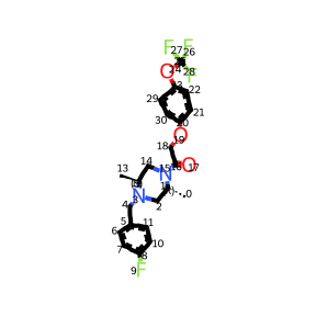 C[C@@H]1CN(Cc2ccc(F)cc2)[C@@H](C)CN1C(=O)COc1ccc(OC(F)(F)F)cc1